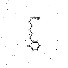 CCCCCCCCCCC[CH]c1ccccn1